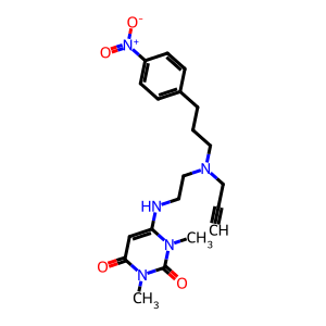 C#CCN(CCCc1ccc([N+](=O)[O-])cc1)CCNc1cc(=O)n(C)c(=O)n1C